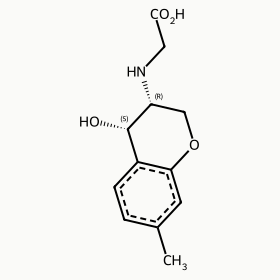 Cc1ccc2c(c1)OC[C@@H](NCC(=O)O)[C@H]2O